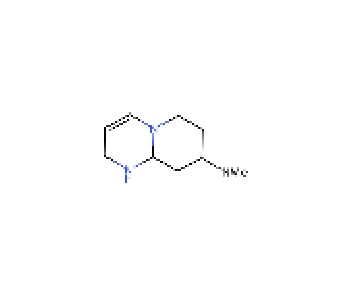 CNC1CCN2C=CCNC2C1